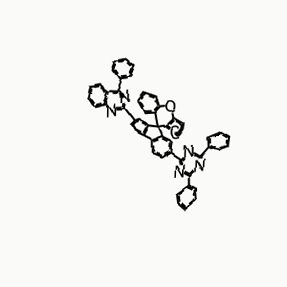 c1ccc(-c2nc(-c3ccccc3)nc(-c3ccc4c(c3)C3(c5ccccc5Oc5ccccc53)c3cc(-c5nc(-c6ccccc6)c6ccccc6n5)ccc3-4)n2)cc1